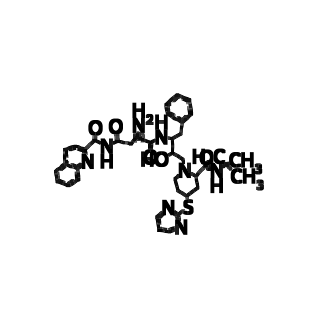 CC(C)(C)NC(=O)C1CC(Sc2ncccn2)CCN1CC(O)C(Cc1ccccc1)NC(=O)[C@@H](N)CC(=O)NC(=O)c1ccc2ccccc2n1